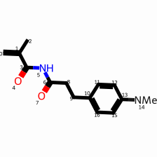 C=C(C)C(=O)NC(=O)CCc1ccc(NC)cc1